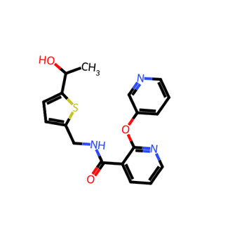 CC(O)c1ccc(CNC(=O)c2cccnc2Oc2cccnc2)s1